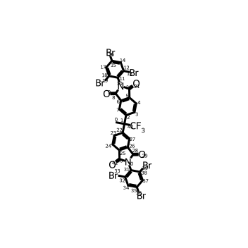 CC(c1ccc2c(c1)C(=O)N(c1c(Br)cc(Br)cc1Br)C2=O)(c1ccc2c(c1)C(=O)N(c1c(Br)cc(Br)cc1Br)C2=O)C(F)(F)F